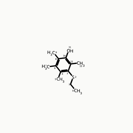 CCSc1c(C)c(C)c(C)c(O)c1C